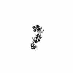 CN(Cc1cc(CNC(=O)c2c[nH]c3c(C(=O)NCc4ccc5c(c4)NC(=O)CO5)ncnc23)ccc1F)c1c(N)c(=O)c1=O